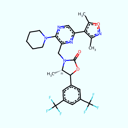 Cc1noc(C)c1-c1cnc(N2CCCCC2)c(CN2C(=O)OC(c3cc(C(F)(F)F)cc(C(F)(F)F)c3)[C@@H]2C)n1